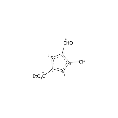 CCOC(=O)c1nc(Cl)c(C=O)s1